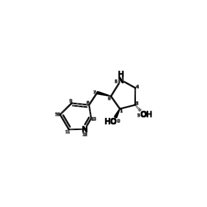 O[C@@H]1[C@@H](O)CN[C@@H]1Cc1cccnc1